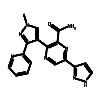 Cn1cc(-c2ncc(-c3cc[nH]n3)nc2C(N)=O)c(-c2ccccn2)n1